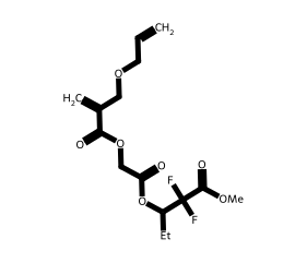 C=CCOCC(=C)C(=O)OCC(=O)OC(CC)C(F)(F)C(=O)OC